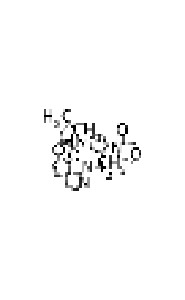 Cc1cc(NC(=O)[C@H](CC(C)C)Oc2ccc3ccnc(N)c3c2)ccc1N1CCOCC1=O